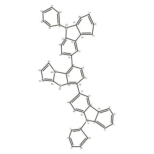 c1ccc(-n2c3ccccc3c3cc(-c4ccc(-c5ccc6c(c5)c5ccccc5n6-c5ccccc5)c5c4sc4nccn45)ccc32)cc1